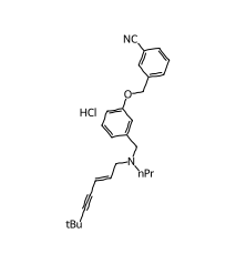 CCCN(C/C=C/C#CC(C)(C)C)Cc1cccc(OCc2cccc(C#N)c2)c1.Cl